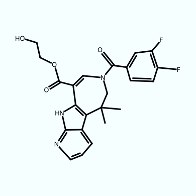 CC1(C)CN(C(=O)c2ccc(F)c(F)c2)C=C(C(=O)OCCO)c2[nH]c3ncccc3c21